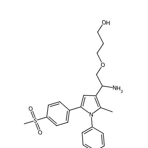 Cc1c(C(N)COCCCO)cc(-c2ccc(S(C)(=O)=O)cc2)n1-c1ccccc1